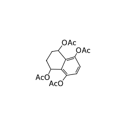 CC(=O)Oc1ccc(OC(C)=O)c2c1C(OC(C)=O)CCC2OC(C)=O